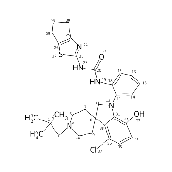 CC(C)(C)CN1CCC2(CC1)CN(c1ccccc1NC(=O)Nc1nc3c(s1)CCC3)c1c(O)ccc(Cl)c12